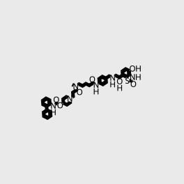 CN(CCCCC(=O)Nc1ccc(CNC[C@H](O)c2ccc(O)c3[nH]c(=O)sc23)cc1)C(=O)CCN1CCC(OC(=O)Nc2ccccc2-c2ccccc2)CC1